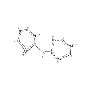 c1ncnc(Sc2ncncn2)n1